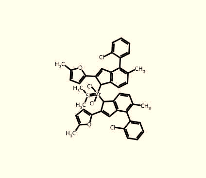 Cc1ccc(C2=Cc3c(ccc(C)c3-c3ccccc3Cl)[CH]2[Zr]([Cl])([Cl])([CH]2C(c3ccc(C)o3)=Cc3c2ccc(C)c3-c2ccccc2Cl)=[Si](C)C)o1